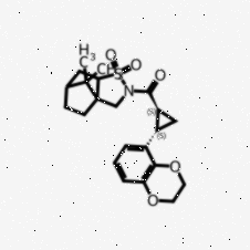 CC1(C)C2CCC13CN(C(=O)[C@H]1C[C@@H]1c1cccc4c1OCCO4)S(=O)(=O)C3C2